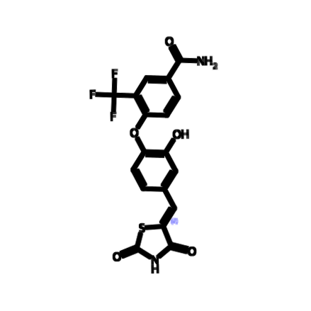 NC(=O)c1ccc(Oc2ccc(/C=C3\SC(=O)NC3=O)cc2O)c(C(F)(F)F)c1